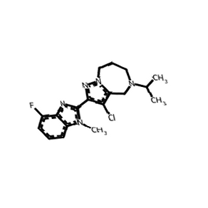 CC(C)N1CCCn2nc(-c3nc4c(F)cccc4n3C)c(Cl)c2C1